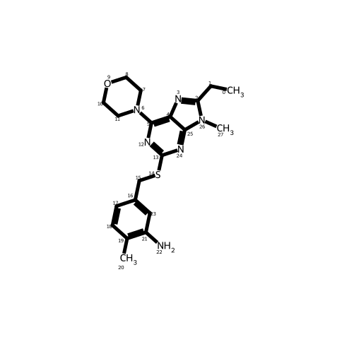 CCc1nc2c(N3CCOCC3)nc(SCc3ccc(C)c(N)c3)nc2n1C